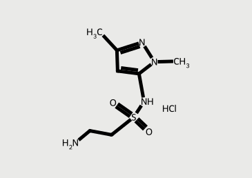 Cc1cc(NS(=O)(=O)CCN)n(C)n1.Cl